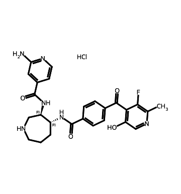 Cc1ncc(O)c(C(=O)c2ccc(C(=O)N[C@@H]3CCCNC[C@H]3NC(=O)c3ccnc(N)c3)cc2)c1F.Cl